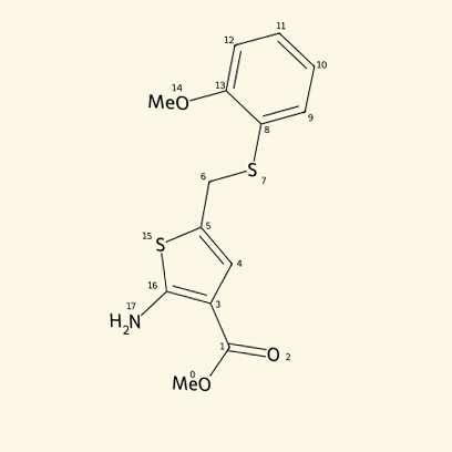 COC(=O)c1cc(CSc2ccccc2OC)sc1N